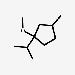 COC1(C(C)C)CCC(C)C1